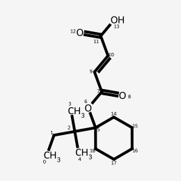 CCC(C)(C)C1(OC(=O)/C=C/C(=O)O)CCCCC1